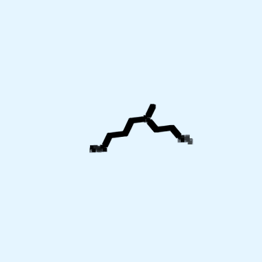 CNCCCN(C)CCN